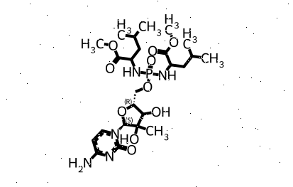 COC(=O)C(CC(C)C)NP(=O)(NC(CC(C)C)C(=O)OC)OC[C@H]1O[C@H](n2ccc(N)nc2=O)C(C)(O)C1O